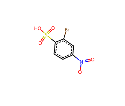 O=[N+]([O-])c1ccc(S(=O)(=O)O)c(Br)c1